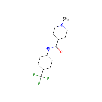 CN1CCC(C(=O)NC2CCC(C(F)(F)F)CC2)CC1